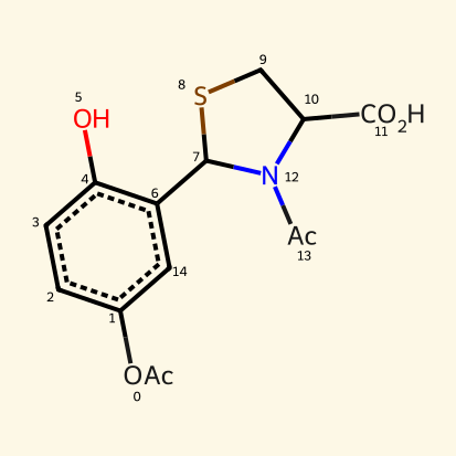 CC(=O)Oc1ccc(O)c(C2SCC(C(=O)O)N2C(C)=O)c1